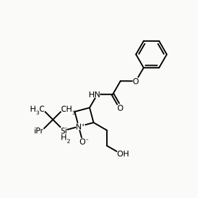 CC(C)C(C)(C)[SiH2][N+]1([O-])CC(NC(=O)COc2ccccc2)C1CCO